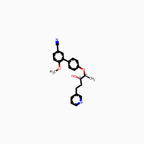 COc1ccc(C#N)cc1-c1ccc(O[C@@H](C)[C@H](O)CCc2cccnc2)cc1